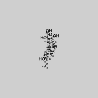 CC(C)=CCC[C@](C)(O)[C@H]1CC[C@]2(C)[C@@H]1CC[C@@H]1[C@@]3(C)CCC(O[C@H]4C(O)O[C@H](CO)[C@@H](O)[C@@H]4O)C(C)(C)[C@@H]3CC[C@]12C